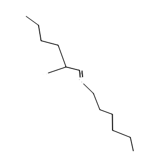 CCCCCC/N=C/C(O)CCCC